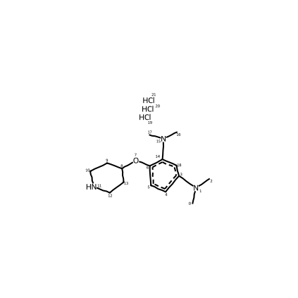 CN(C)c1ccc(OC2CCNCC2)c(N(C)C)c1.Cl.Cl.Cl